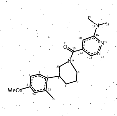 COc1ccc(C2CCCN(C(=O)c3cnnc(N(C)C)c3)C2)c(C)c1